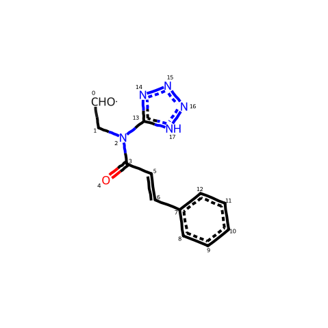 O=[C]CN(C(=O)C=Cc1ccccc1)c1nnn[nH]1